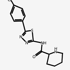 O=C(Nc1nnc(-c2ccc(Cl)cc2)s1)C1CCCCN1